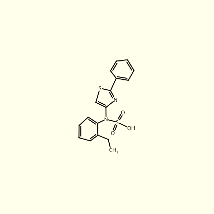 CCc1ccccc1N(c1csc(-c2ccccc2)n1)S(=O)(=O)O